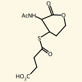 CC(=O)NC1C(=O)OCCC1SC(=O)CCC(=O)O